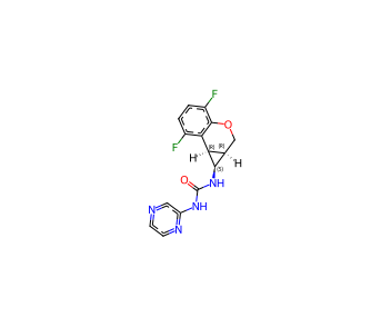 O=C(Nc1cnccn1)N[C@@H]1[C@@H]2COc3c(F)ccc(F)c3[C@@H]21